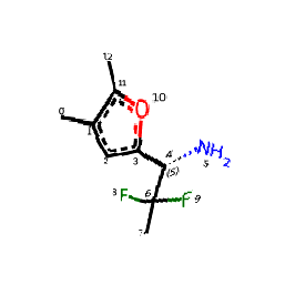 Cc1cc([C@H](N)C(C)(F)F)oc1C